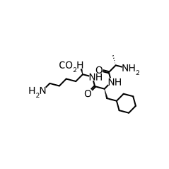 C[C@H](N)C(=O)N[C@@H](CC1CCCCC1)C(=O)N[C@@H](CCCCN)C(=O)O